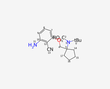 CC(C)(C)N(C(=O)O)C1(COc2cccc(N)c2C#N)CCCC1